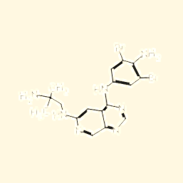 CC(C)(N)CNc1cc2c(Nc3cc(Br)c(N)c(Br)c3)ncnc2cn1